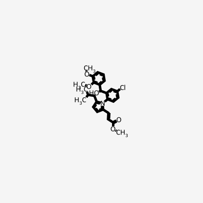 COC(=O)/C=C/c1ccc(CC(C)C)n1-c1ccc(Cl)cc1C(O)c1cccc(OC)c1OC